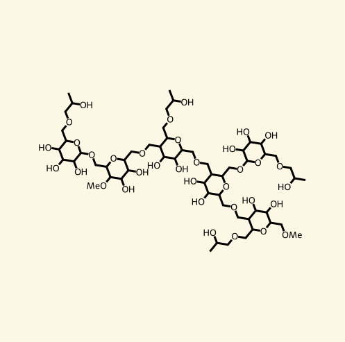 COCC1OC(COCC(C)O)C(COCC2OC(COC3OC(COCC(C)O)C(O)C(O)C3O)C(COCC3OC(COCC(C)O)C(COCC4OC(COC5OC(COCC(C)O)C(O)C(O)C5O)C(OC)C(O)C4O)C(O)C3O)C(O)C2O)C(O)C1O